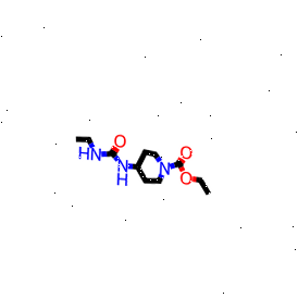 CCNC(=O)NC1CCN(C(=O)OCC)CC1